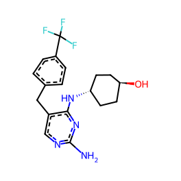 Nc1ncc(Cc2ccc(C(F)(F)F)cc2)c(N[C@H]2CC[C@H](O)CC2)n1